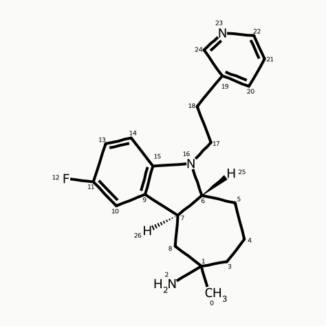 CC1(N)CCC[C@@H]2[C@@H](C1)c1cc(F)ccc1N2CCc1cccnc1